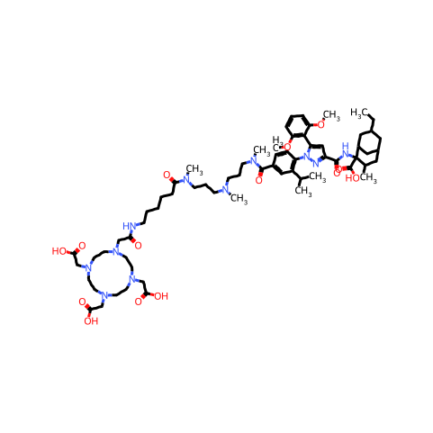 CCC1CC2CC(C)C(NC(=O)c3cc(-c4c(OC)cccc4OC)n(-c4ccc(C(=O)N(C)CCCN(C)CCCN(C)C(=O)CCCCCNC(=O)CN5CCN(CC(=O)O)CCN(CC(=O)O)CCN(CC(=O)O)CC5)cc4C(C)C)n3)(C(=O)O)C(C1)C2